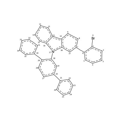 Brc1ccccc1-c1ccc2c3ccccc3n(-c3cc(-c4ccccc4)ccc3-c3ccccc3)c2c1